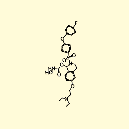 CCN(CC)CCOc1ccc2c(c1)CCN(S(=O)(=O)c1ccc(Oc3ccc(F)cc3)cc1)C2OC(=O)NO